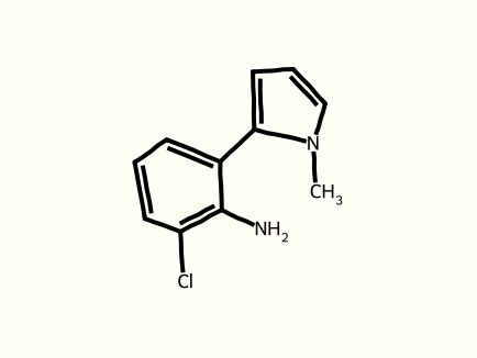 Cn1cccc1-c1cccc(Cl)c1N